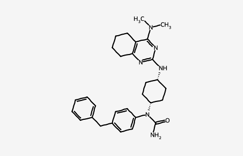 CN(C)c1nc(N[C@H]2CC[C@@H](N(C(N)=O)c3ccc(Cc4ccccc4)cc3)CC2)nc2c1CCCC2